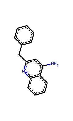 Nc1cc(Cc2ccccc2)nc2ccccc12